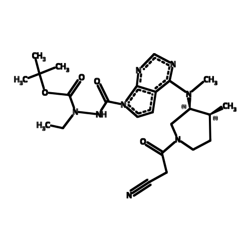 CCN(NC(=O)n1ccc2c(N(C)[C@@H]3CN(C(=O)CC#N)CC[C@@H]3C)ncnc21)C(=O)OC(C)(C)C